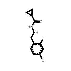 O=C(NNCc1ccc(Cl)cc1F)C1CC1